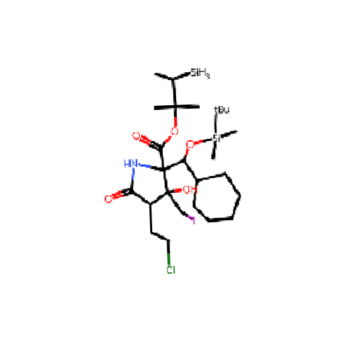 CC([SiH3])C(C)(C)OC(=O)C1(C(O[Si](C)(C)C(C)(C)C)C2CCCCC2)NC(=O)C(CCCl)C1(O)CI